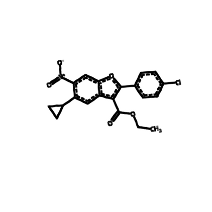 CCOC(=O)c1c(-c2ccc(Cl)cc2)oc2cc([N+](=O)[O-])c(C3CC3)cc12